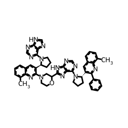 Cc1cccc2cc([C@@H]3CCCN3c3ncnc4[nH]c(C5CN(c6nc7c(C)cccc7cc6[C@@H]6CCCN6c6ncnc7[nH]cnc67)CCO5)nc34)c(-c3ccccc3)nc12